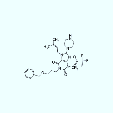 CC(C)=CCN1c2c(n(C)c(=O)n(CCCOCc3ccccc3)c2=O)N(OC(=O)C(F)(F)F)C1N1CCNCC1